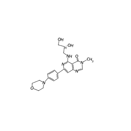 Cn1cnc2cc(-c3ccc(N4CCOCC4)cc3)nc(NC[C@@H](O)CO)c2c1=O